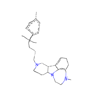 Cc1ccc(C(C)(C)CCCN2CCC3C(C2)C2=CCCC4=C2N3CCN4C)cc1